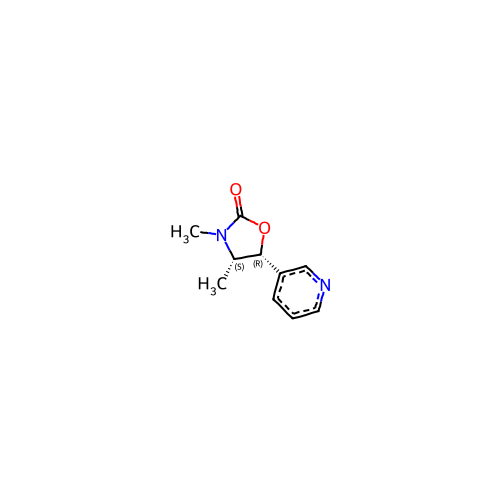 C[C@H]1[C@@H](c2cccnc2)OC(=O)N1C